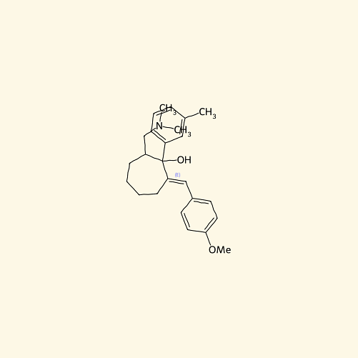 COc1ccc(/C=C2\CCCCC(CN(C)C)C2(O)c2cccc(C)c2)cc1